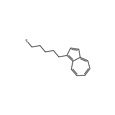 [S]CCCCCc1ccc2cccccc1-2